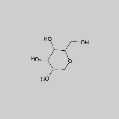 OCC1OCC(O)[C@H](O)C1O